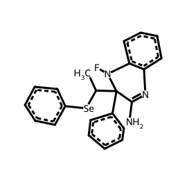 CC([Se]c1ccccc1)C1(c2ccccc2)C(N)=Nc2ccccc2N1F